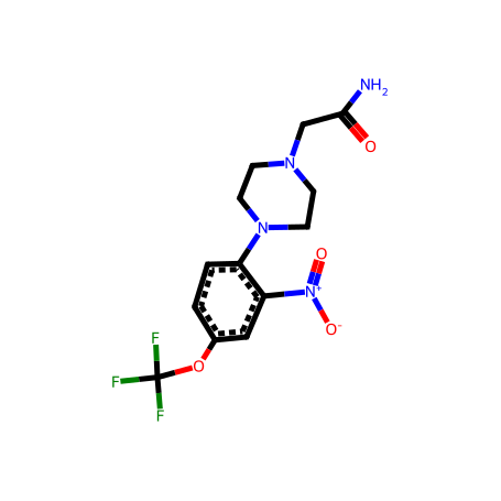 NC(=O)CN1CCN(c2ccc(OC(F)(F)F)cc2[N+](=O)[O-])CC1